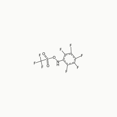 O=S(=O)(ONc1c(F)c(F)c(F)c(F)c1F)C(F)(F)F